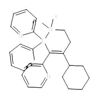 C[N+]1(C)CCC(C2CCCCC2)=C(c2ccccn2)[B-]1(c1ccccn1)c1ccccn1